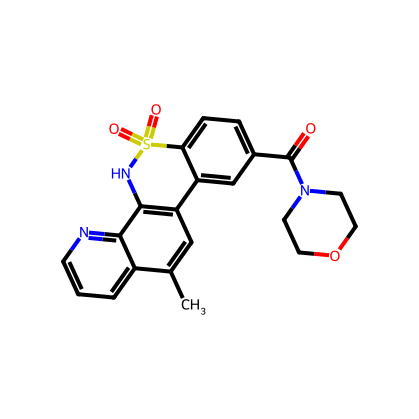 Cc1cc2c(c3ncccc13)NS(=O)(=O)c1ccc(C(=O)N3CCOCC3)cc1-2